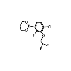 Fc1c(B2OCCCO2)ccc(Cl)c1OCC(F)F